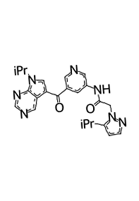 CC(C)c1ccnn1CC(=O)Nc1cncc(C(=O)c2cn(C(C)C)c3ncncc23)c1